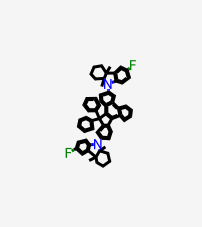 CC12CCCCC1(C)N(c1ccc3c(c1)C(c1ccccc1)(c1ccccc1)c1c-3c3ccccc3c3cc(N4c5ccc(F)cc5C5(C)CCCCC45C)ccc13)c1ccc(F)cc12